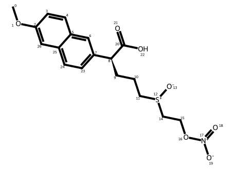 COc1ccc2cc([C@H](CCC[S+]([O-])CCO[N+](=O)[O-])C(=O)O)ccc2c1